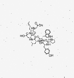 CSCC[C@H](NC(=O)[C@H](CC(=O)O)NC(=O)[C@H](CC(C)C)NC(=O)[C@H](Cc1c[nH]c2ccccc12)NC(=O)[C@H](Cc1ccc(O)cc1)NC(=O)[C@@H]1CCCN1)C(=O)NCC(=O)O